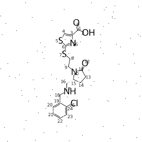 O=C(O)c1csc(SCCN2C(=O)CC[C@@H]2CNCc2ccccc2Cl)n1